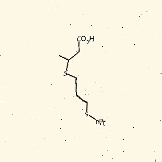 CCCSCCCSC(C)CC(=O)O